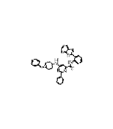 O=C(Nc1ccccc1-c1nc2cccnc2s1)c1cc(NC2CCN(Cc3ccccc3)CC2)nc(-c2ccccc2)n1